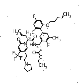 C=CCCCOc1cc(F)cc(C)c1-c1cc(C)c(F)c([C@H](CC(=O)OCC)NC(=O)[C@H](CC=C)n2cc(CCN3CCCC3)c(C(F)(F)F)cc2=O)c1